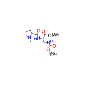 COC(=O)C(CNC(=O)OC(C)(C)C)NC(=O)C1CCCN1C